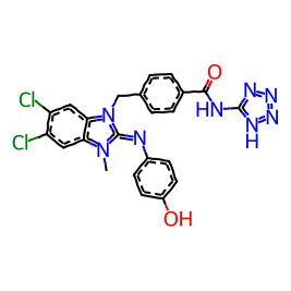 Cn1c(=Nc2ccc(O)cc2)n(Cc2ccc(C(=O)Nc3nnn[nH]3)cc2)c2cc(Cl)c(Cl)cc21